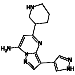 Nc1cc(C2CCCNC2)nc2c(-c3cn[nH]c3)cnn12